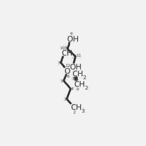 C=C.CCCCOCC.OCCO